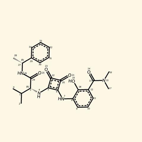 CC(C)[C@@H](Nc1c(Nc2cccc(C(=O)N(C)C)c2O)c(=O)c1=O)C(=O)N[C@H](C)c1ccccc1